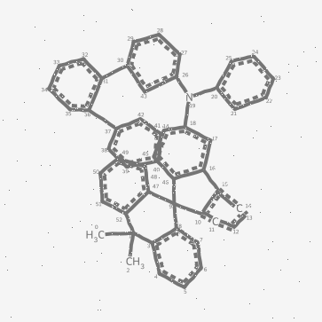 CC1(C)c2ccccc2C2(c3ccccc3-c3cc(N(c4ccccc4)c4cccc(-c5ccccc5-c5ccccc5)c4)ccc32)c2ccccc21